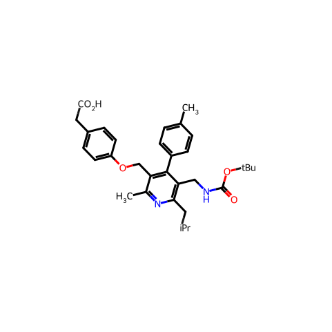 Cc1ccc(-c2c(COc3ccc(CC(=O)O)cc3)c(C)nc(CC(C)C)c2CNC(=O)OC(C)(C)C)cc1